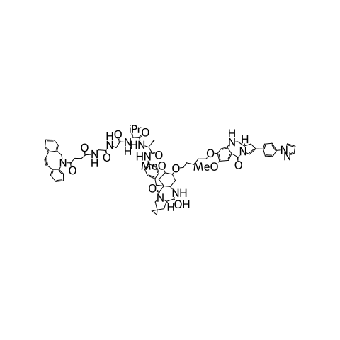 COc1cc2c(cc1OCCCCCOC1CC3NC(O)[C@@H]4CC5(CC5)CN4C(=O)C3(Cc3ccc(NC(=O)[C@H](C)NC(=O)[C@@H](NC(=O)CNC(=O)CNC(=O)CCC(=O)N4Cc5ccccc5C#Cc5ccccc54)C(C)C)cc3)CC1OC)NC[C@@H]1CC(c3ccc(-n4cccn4)cc3)=CN1C2=O